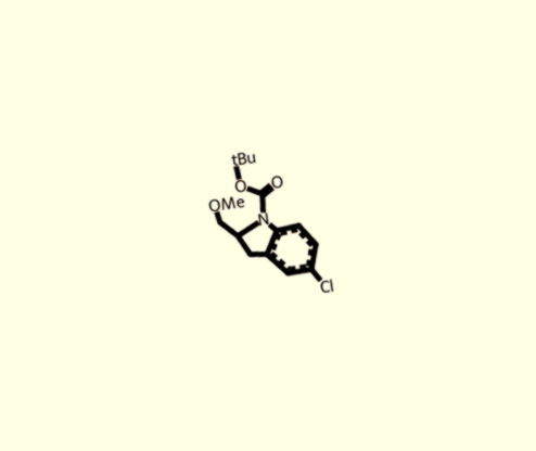 COCC1Cc2cc(Cl)ccc2N1C(=O)OC(C)(C)C